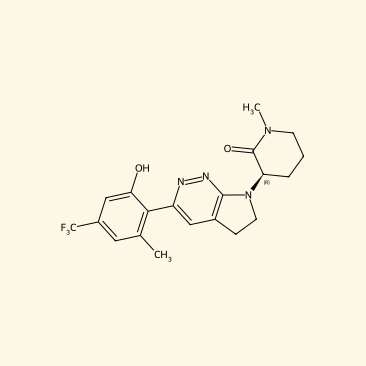 Cc1cc(C(F)(F)F)cc(O)c1-c1cc2c(nn1)N([C@@H]1CCCN(C)C1=O)CC2